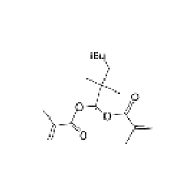 [CH2]CC(C)CC(C)(C)[C](OC(=O)C(=C)C)OC(=O)C(=C)C